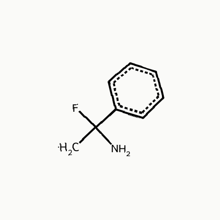 [CH2]C(N)(F)c1ccccc1